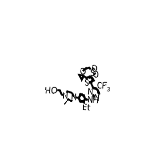 CCc1cc(N2CCN(CCO)[C@H](C)C2)ccc1Nc1ncc(C(F)(F)F)c(-c2cc3c(s2)C2(CC2)OCCS3(=O)=O)n1